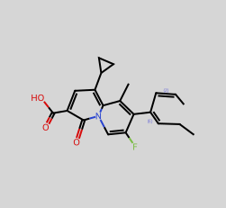 C/C=C\C(=C/CC)c1c(F)cn2c(=O)c(C(=O)O)cc(C3CC3)c2c1C